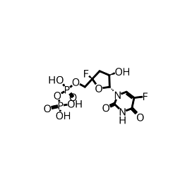 O=c1[nH]c(=O)n([C@@H]2O[C@](F)(COP(=O)(O)OP(=O)(O)O)C[C@H]2O)cc1F